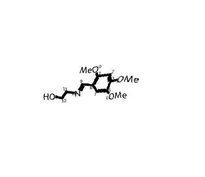 COc1cc(OC)c(OC)cc1C=NCCO